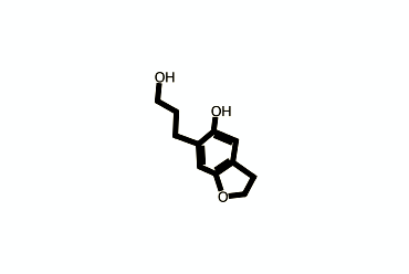 OCCCc1cc2c(cc1O)CCO2